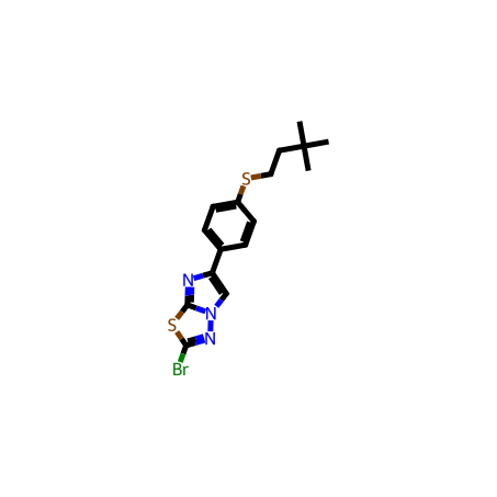 CC(C)(C)CCSc1ccc(-c2cn3nc(Br)sc3n2)cc1